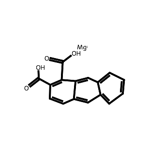 O=C(O)c1ccc2cc3ccccc3cc2c1C(=O)O.[Mg]